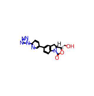 O=C1O[C@@H](CO)[C@@H]2Cc3cc(-c4ccc(-n5cnnn5)nc4)ccc3N12